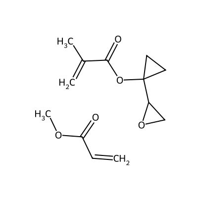 C=C(C)C(=O)OC1(C2CO2)CC1.C=CC(=O)OC